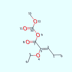 CCC=C(OCC)C(=O)OC(=O)OC